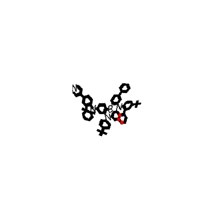 Cc1cc2c3c(c1)N(c1ccc(C(C)(C)C)cc1-c1ccccc1)c1cc(-c4ccccc4)ccc1B3c1ccc(N3c4ccc(-c5ccncc5)cc4C4(C)CCCCC34C)cc1N2c1ccc(C(C)(C)C)cc1